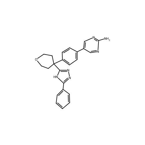 Nc1ncc(-c2ccc(C3(c4nnc(-c5ccccc5)[nH]4)CCOCC3)cc2)cn1